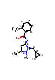 Cn1c(C(C)(C)C)c/c(=N\C(=O)c2ccccc2C(F)(F)F)n1CC1CC1